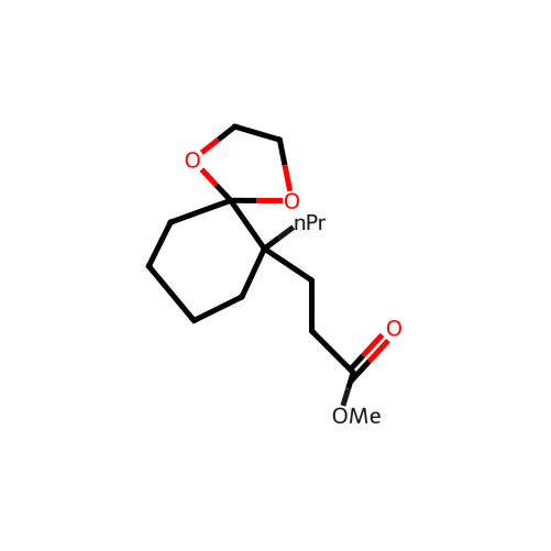 CCCC1(CCC(=O)OC)CCCCC12OCCO2